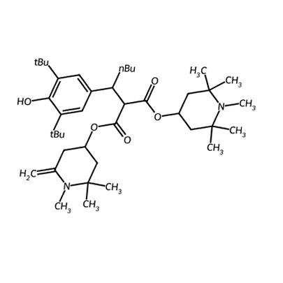 C=C1CC(OC(=O)C(C(=O)OC2CC(C)(C)N(C)C(C)(C)C2)C(CCCC)c2cc(C(C)(C)C)c(O)c(C(C)(C)C)c2)CC(C)(C)N1C